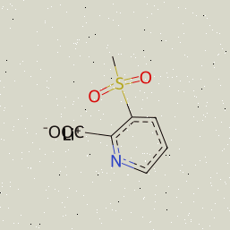 CS(=O)(=O)c1cccnc1C(=O)[O-].[Li+]